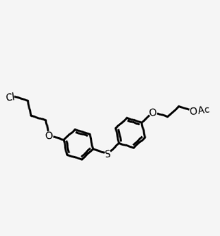 CC(=O)OCCOc1ccc(Sc2ccc(OCCCCl)cc2)cc1